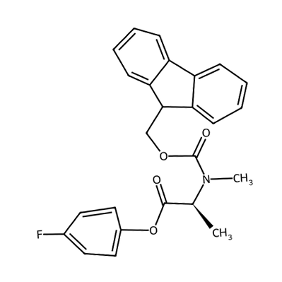 C[C@@H](C(=O)Oc1ccc(F)cc1)N(C)C(=O)OCC1c2ccccc2-c2ccccc21